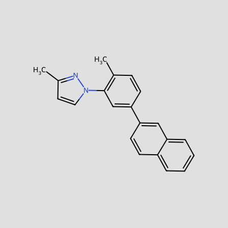 Cc1ccn(-c2cc(-c3ccc4ccccc4c3)ccc2C)n1